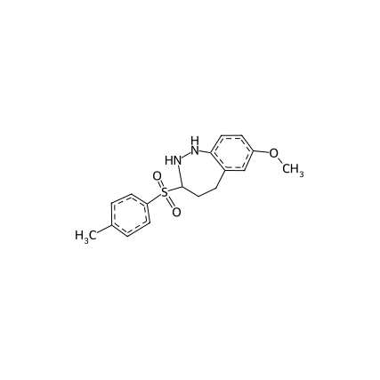 COc1ccc2c(c1)CCC(S(=O)(=O)c1ccc(C)cc1)NN2